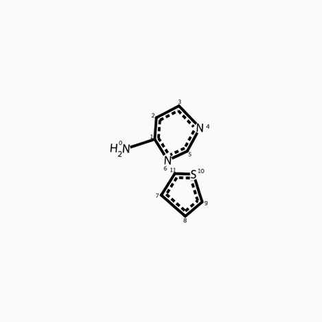 Nc1ccncn1.c1ccsc1